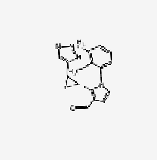 Cc1cccc(-n2ccc(C=O)c2[C@@H]2C[C@H]2c2c[nH]nn2)c1C